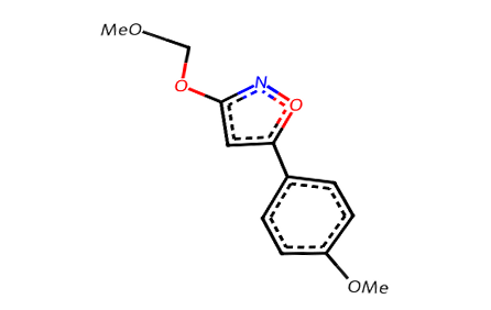 COCOc1cc(-c2ccc(OC)cc2)on1